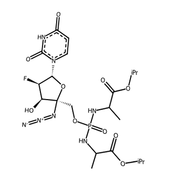 CC(C)OC(=O)C(C)NP(=O)(NC(C)C(=O)OC(C)C)OC[C@@]1(N=[N+]=[N-])O[C@@H](n2ccc(=O)[nH]c2=O)[C@H](F)[C@@H]1O